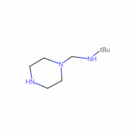 CC(C)(C)NCN1CCNCC1